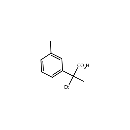 CCC(C)(C(=O)O)c1cccc(C)c1